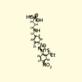 CCC(Sc1nnc(-c2ccc(CNCCCP(=O)(O)O)cc2C)o1)c1cccc([N+](=O)[O-])c1